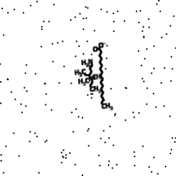 CCCCCCCCCCCCCCCCCC(=O)[O-].CCC[N+](C)(C)C(CC)CCCN